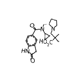 CC(C)(CN1CCC[C@H]1CN(C(=O)c1ccc2c(c1)CC(=O)N2)C1CC1)C(=O)O